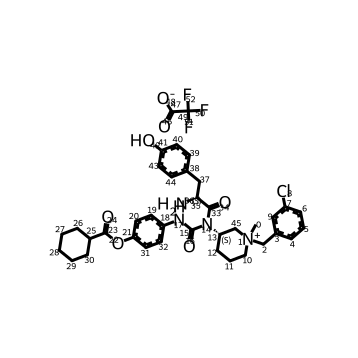 C[N+]1(Cc2cccc(Cl)c2)CCC[C@H](N(C(=O)Nc2ccc(OC(=O)C3CCCCC3)cc2)C(=O)[C@@H](N)Cc2ccc(O)cc2)C1.O=C([O-])C(F)(F)F